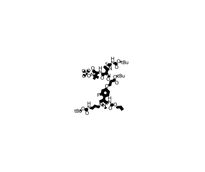 C=CCOC(=O)Nc1c(-c2ccc(OCC(O/N=C(\C(=O)NC3C(=O)N(OS(=O)(=O)[O-])C3(C)C)c3csc(NC(=O)OC(C)(C)C)n3)C(=O)OC(C)(C)C)cc2F)cn(CCCNC(=O)OC(C)(C)C)[n+]1C